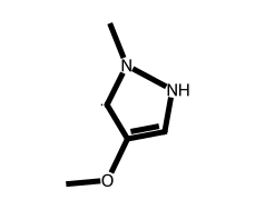 COC1=CNN(C)[CH]1